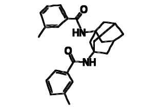 Cc1cccc(C(=O)NC23CC4CC(C2)CC(NC(=O)c2cccc(C)c2)(C4)C3)c1